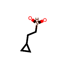 O=[SH](=O)CC[C]1CC1